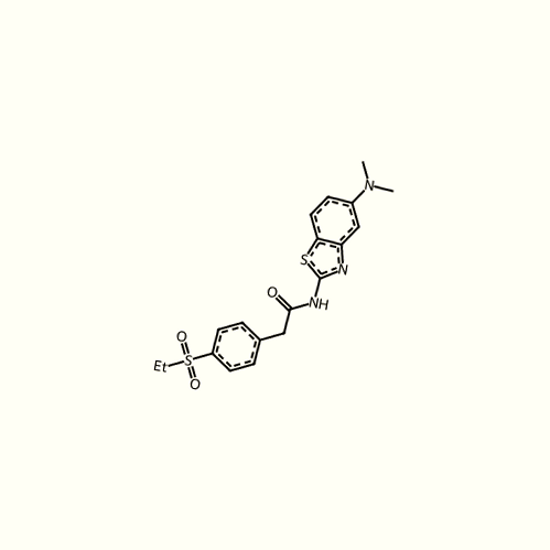 CCS(=O)(=O)c1ccc(CC(=O)Nc2nc3cc(N(C)C)ccc3s2)cc1